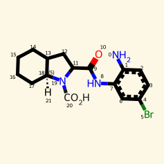 Nc1ccc(Br)cc1NC(=O)C1CC2CCCC[C@@H]2N1C(=O)O